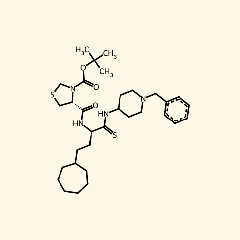 CC(C)(C)OC(=O)N1CSC[C@H]1C(=O)N[C@H](CCC1CCCCCC1)C(=S)NC1CCN(Cc2ccccc2)CC1